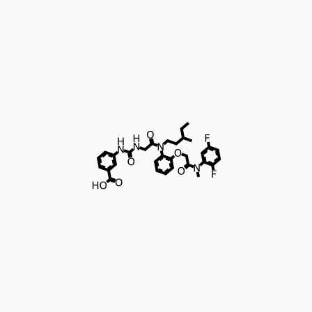 CCC(C)CCN(C(=O)CNC(=O)Nc1cccc(C(=O)O)c1)c1ccccc1OCC(=O)N(C)c1cc(F)ccc1F